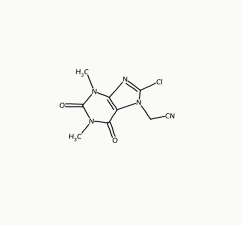 Cn1c(=O)c2c(nc(Cl)n2CC#N)n(C)c1=O